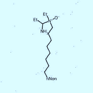 CCCCCCCCCCCCCCCCC[N+]([O-])(CC)C(N)CC